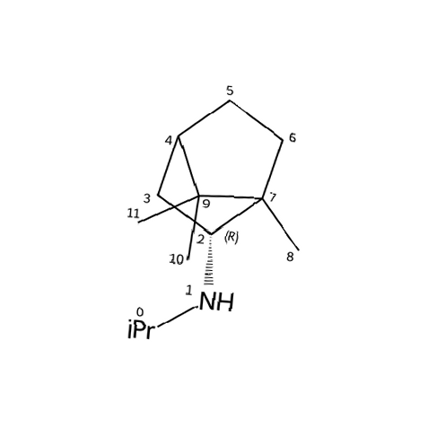 CC(C)N[C@@H]1CC2CCC1(C)C2(C)C